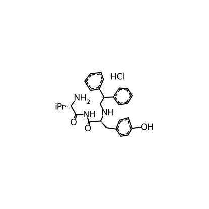 CC(C)[C@H](N)C(=O)NC(=O)[C@H](Cc1ccc(O)cc1)NCC(c1ccccc1)c1ccccc1.Cl